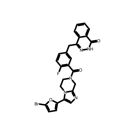 O=C(c1cc(Cc2n[nH]c(=O)c3ccccc23)ccc1F)N1CCn2c(-c3ccc(Br)o3)cnc2C1